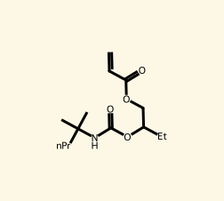 C=CC(=O)OCC(CC)OC(=O)NC(C)(C)CCC